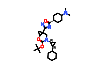 CN(C)[C@H]1CC[C@H](c2nc(C3(CN(C(=O)OC(C)(C)C)[C@@H]4C[C@H]4C4CCCCC4)CC3)no2)CC1